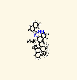 CN/C(=C(\N=C(/N)c1cccc2ccccc12)c1ccccc1)c1ccc2c(c1)C1(c3ccccc3-c3ccccc31)c1ccccc1C2(C)C